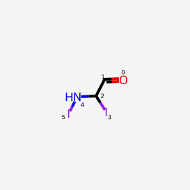 O=CC(I)NI